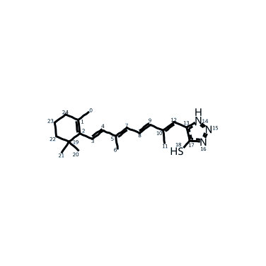 CC1=C(/C=C/C(C)=C/C=C/C(C)=C/c2[nH]nnc2S)C(C)(C)CCC1